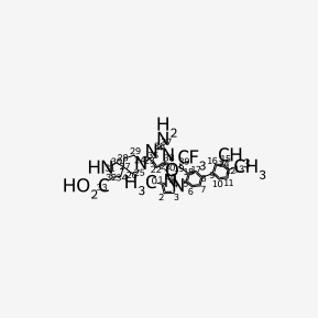 Cc1ccn(-c2ccc(-c3ccc(C)c(C)c3)cc2[C@@H](Oc2cc(N3CCC4(CC3)CNC(C(=O)O)C4)nc(N)n2)C(F)(F)F)n1